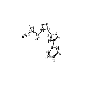 CC(C)NC(=O)N1CCC1n1ccc(-c2ccccn2)n1